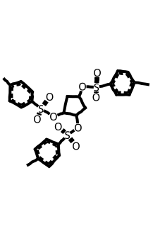 Cc1ccc(S(=O)(=O)OC2CC(OS(=O)(=O)c3ccc(C)cc3)C(OS(=O)(=O)c3ccc(C)cc3)C2)cc1